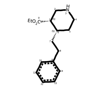 CCOC(=O)[C@@H]1CNCC[C@@H]1CCc1ccccc1